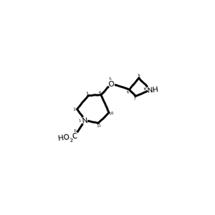 O=C(O)N1CCC(OC2CNC2)CC1